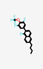 CCCCc1ccc2c(F)c(-c3cc(F)c(OC(F)(F)F)c(F)c3)ccc2c1